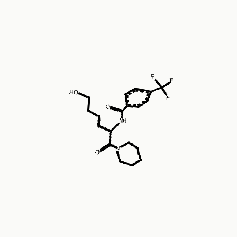 O=C(NC(CCCCO)C(=O)N1CCCCC1)c1ccc(C(F)(F)F)cc1